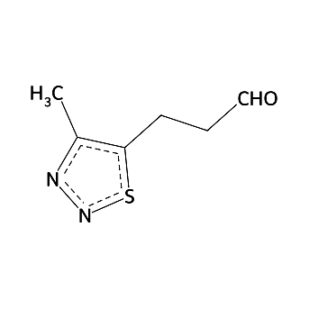 Cc1nnsc1CCC=O